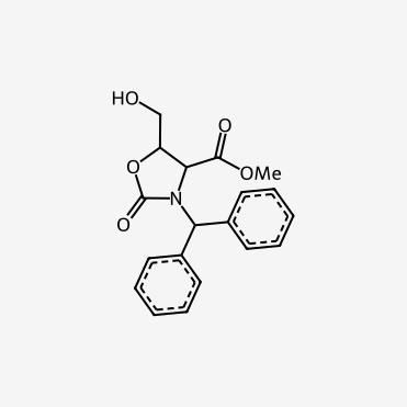 COC(=O)C1C(CO)OC(=O)N1C(c1ccccc1)c1ccccc1